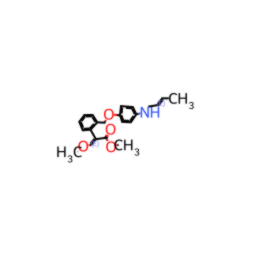 C/C=C/CNc1ccc(OCc2ccccc2/C(=C\OC)C(=O)OC)cc1